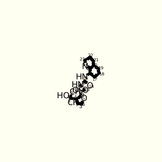 CC(C)(O)c1ccoc1S(=O)(=O)NC(=O)Nc1cccc2cccnc12